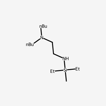 CCCCN(CCCC)CCN[Si](C)(CC)CC